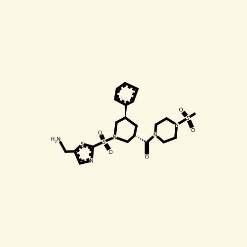 CS(=O)(=O)N1CCN(C(=O)[C@H]2C[C@H](c3ccccc3)CN(S(=O)(=O)c3ncc(CN)s3)C2)CC1